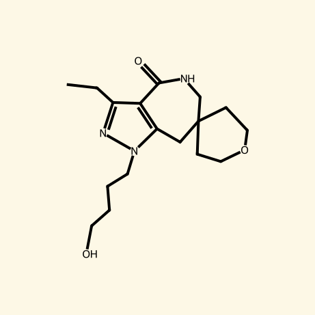 CCc1nn(CCCCO)c2c1C(=O)NCC1(CCOCC1)C2